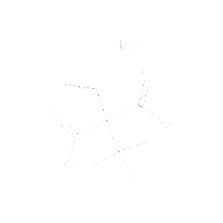 CCC(C(=O)[O-])(C(=O)[O-])C(C)(C)C.[Ba+2]